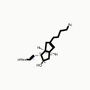 CCCCCC/C=C/[C@@H]1[C@H]2CC(CCCCC(C)=O)=C[C@H]2C[C@H]1O